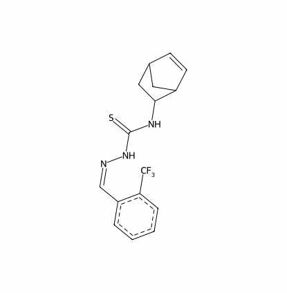 FC(F)(F)c1ccccc1/C=N\NC(=S)NC1CC2C=CC1C2